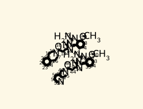 COc1cccc2c1nc(N)n1nc(CC(=O)N3CCc4ccccc4CC3)nc21.COc1cccc2c1nc(N)n1nc(CC(=O)N3Cc4cccnc4C3)nc21